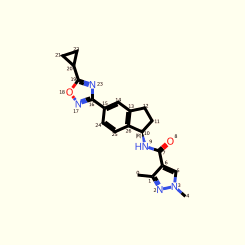 Cc1nn(C)cc1C(=O)N[C@@H]1CCc2cc(-c3noc(C4CC4)n3)ccc21